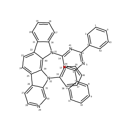 c1ccc(-c2nc(-c3ccccc3)nc(-n3c4ccccc4c4ccc5c6ccncc6n(-c6ccccc6)c5c43)n2)cc1